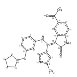 Cn1cc(C(Nc2cccc(CN3CCCC3)c2)=C2C(=O)Nc3ccc(C(=O)O)cc32)cn1